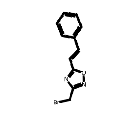 BrCc1noc(C=Cc2ccccc2)n1